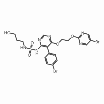 O=S(=O)(NCCCO)Nc1ncnc(OCCOc2ncc(Br)cn2)c1-c1ccc(Br)cc1